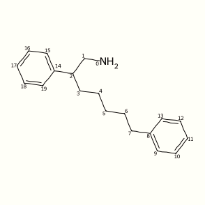 NCC(CCCCCc1ccccc1)c1ccccc1